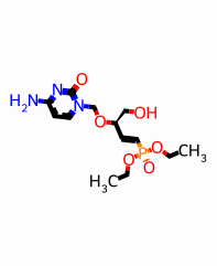 CCOP(=O)(/C=C/[C@H](CO)OCn1ccc(N)nc1=O)OCC